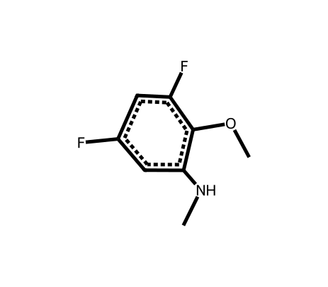 CNc1cc(F)cc(F)c1OC